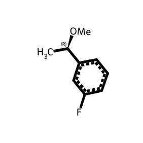 CO[C@H](C)c1cccc(F)c1